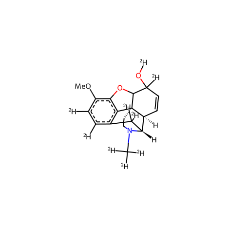 [2H]OC1([2H])C=C[C@H]2[C@@H]3N(C([2H])([2H])[2H])CC[C@@]24c2c(c(OC)c([2H])c([2H])c2C3([2H])[2H])OC14